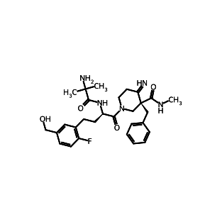 CNC(=O)[C@]1(Cc2ccccc2)CN(C(=O)[C@@H](CCc2cc(CO)ccc2F)NC(=O)C(C)(C)N)CCC1=N